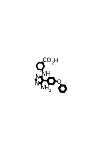 Nc1ncnc(N[C@H]2CCC[C@H](C(=O)O)C2)c1-c1ccc(Oc2ccccc2)cc1